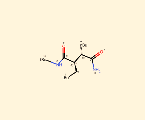 CCCC[C@H](C(N)=O)[C@@H](CC(C)(C)C)C(=O)NC(C)(C)C